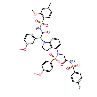 COc1ccc(S(=O)(=O)N(CC(=O)NS(=O)(=O)c2ccc(F)cc2)c2cccc3c2CCN3C(C(=O)NS(=O)(=O)c2ccc(C)cc2OC)c2cccc(OC)c2)cc1